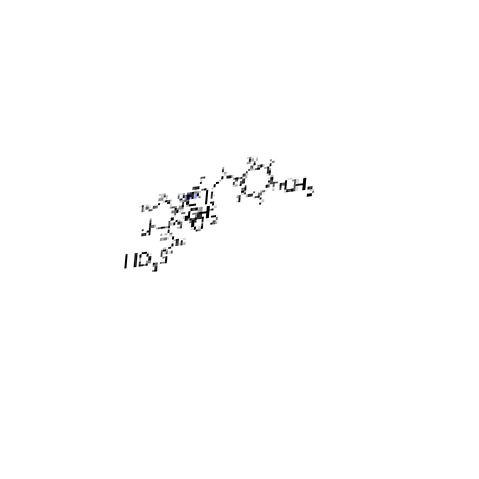 Cc1ccc(CC/C=C2\C(=O)C3(CS(=O)(=O)O)CCC2C3(C)C)cc1